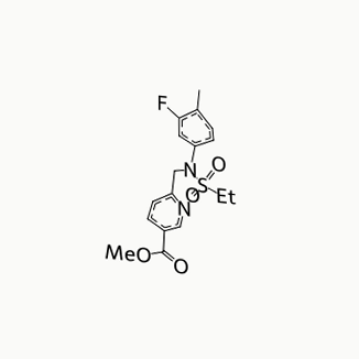 CCS(=O)(=O)N(Cc1ccc(C(=O)OC)cn1)c1ccc(C)c(F)c1